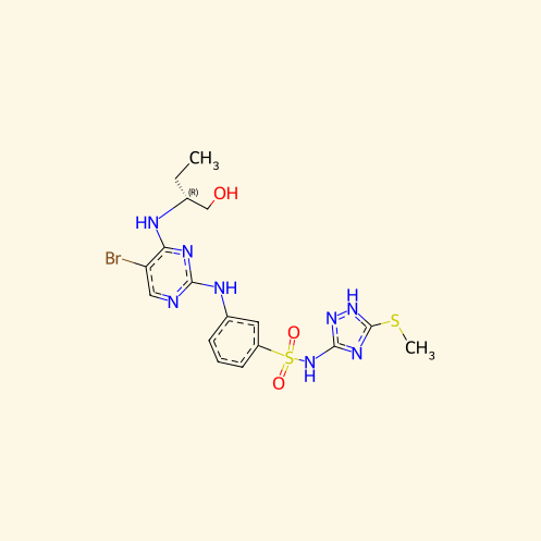 CC[C@H](CO)Nc1nc(Nc2cccc(S(=O)(=O)Nc3n[nH]c(SC)n3)c2)ncc1Br